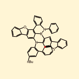 CCCCc1ccc(N2c3cc4sc5ccccc5c4cc3B3c4c2cc2c(oc5ccccc52)c4-c2ccccc2N3c2ccccc2)c(-c2ccccc2)c1